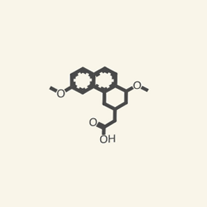 COc1ccc2ccc3c(c2c1)CC(CC(=O)O)CC3OC